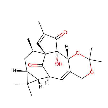 CC1=C[C@]23C(=O)[C@@H](C=C4COC(C)(C)O[C@H]4[C@]2(O)C1=O)[C@H]1[C@@H](C[C@H]3C)C1(C)C